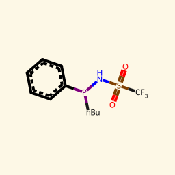 CCCCP(NS(=O)(=O)C(F)(F)F)c1ccccc1